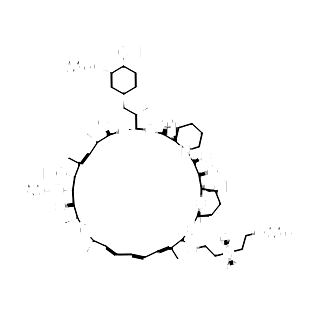 COCCS(=O)(=O)CCOC1C[C@@H]2CC[C@@H](C)[C@@](O)(O2)C(=O)C(=O)N2CCCC[C@H]2C(=O)O[C@H]([C@H](C)C[C@@H]2CC[C@@H](O)[C@H](OC)C2)CC(=O)[C@H](C)/C=C(\C)[C@@H](O)[C@@H](OC)C(=O)[C@H](C)C[C@H](C)/C=C/C=C/C=C/1C